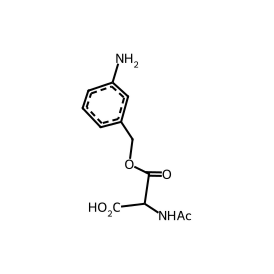 CC(=O)NC(C(=O)O)C(=O)OCc1cccc(N)c1